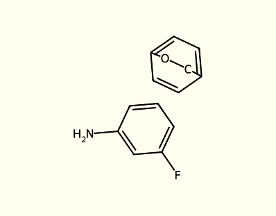 Nc1cccc(F)c1.c1cc2ccc1CO2